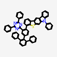 c1ccc(-c2nc(-c3ccccc3)nc(-c3cc(-c4c(-c5ccccc5)cccc4-c4ccccc4)ccc3-c3cccc4c3sc3cc5c(cc34)c3ccccc3n5-c3ccccc3)n2)cc1